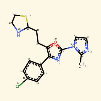 Cc1nccn1-c1nc(-c2ccc(Cl)cc2)c(CCC2NCCS2)o1